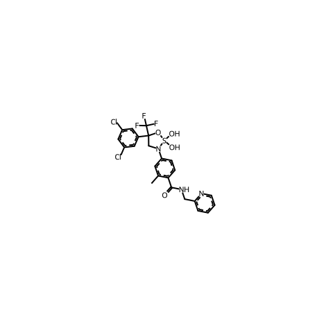 Cc1cc(N2CC(c3cc(Cl)cc(Cl)c3)(C(F)(F)F)OS2(O)O)ccc1C(=O)NCc1ccccn1